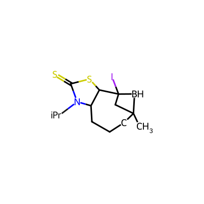 CC(C)N1C(=S)SC2C1CCCC1(C)BC2(I)C1